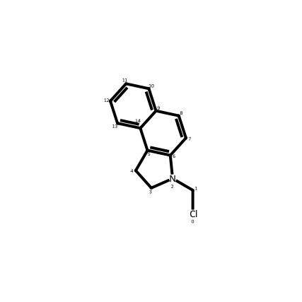 ClCN1CCc2c1ccc1ccccc21